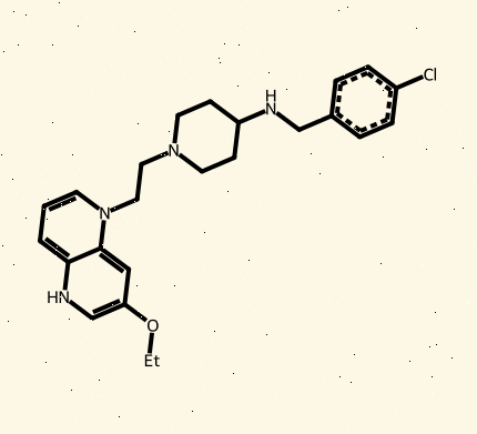 CCOC1=CNC2=CC=CN(CCN3CCC(NCc4ccc(Cl)cc4)CC3)C2=C1